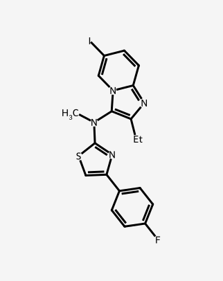 CCc1nc2ccc(I)cn2c1N(C)c1nc(-c2ccc(F)cc2)cs1